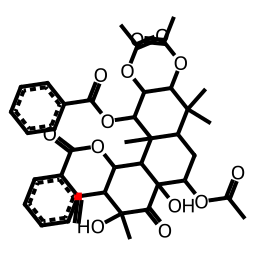 C=CC1C(OC(=O)c2ccccc2)C2C(O)(C(=O)C1(C)O)C(OC(C)=O)CC1C(C)(C)C(OC(C)=O)C(OC(C)=O)C(OC(=O)c3ccccc3)C12C